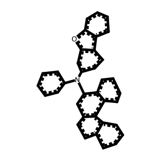 c1ccc(N(c2ccc3c(c2)oc2ccccc23)c2cc3ccc4ccccc4c3c3ccccc23)cc1